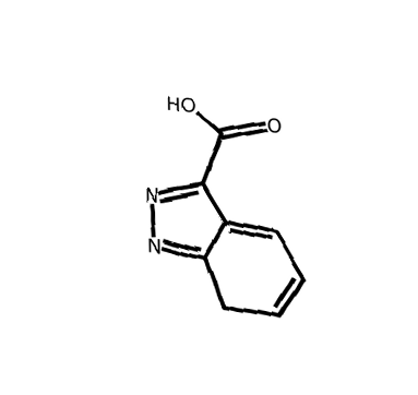 O=C(O)C1=NN=C2CC=CC=C21